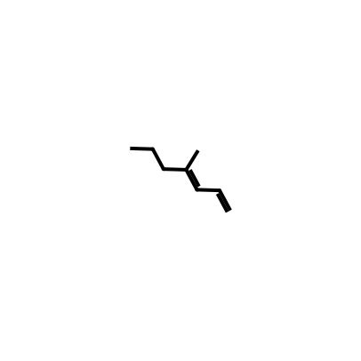 C=C/C=C(\C)CCC